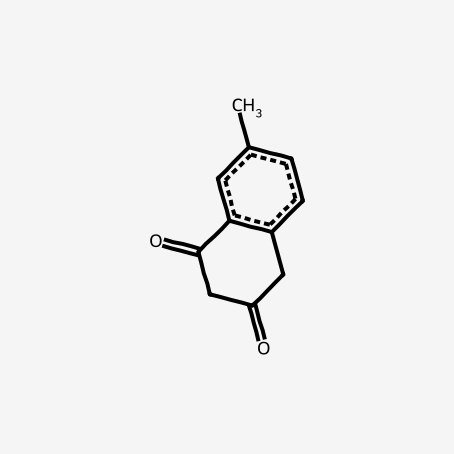 Cc1ccc2c(c1)C(=O)CC(=O)C2